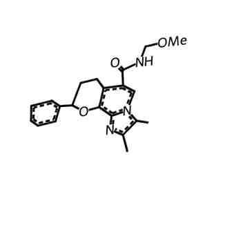 COCNC(=O)c1cn2c(C)c(C)nc2c2c1CCC(c1ccccc1)O2